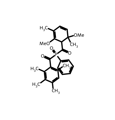 COC1=C(C)C=CC(C)(OC)C1C(=O)P(=O)(C(=O)c1c(C)cc(C)c(C)c1C)c1ccccc1